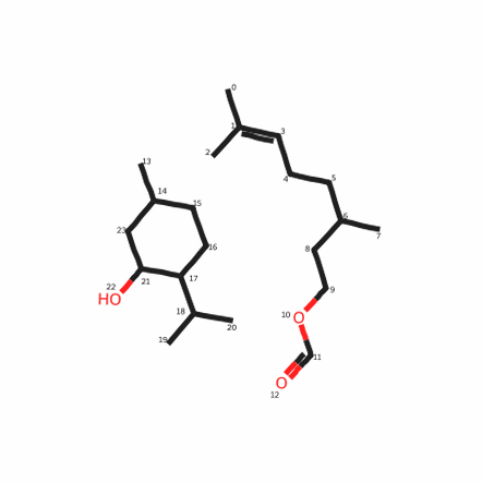 CC(C)=CCCC(C)CCOC=O.CC1CCC(C(C)C)C(O)C1